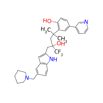 CC(C)(CC(O)(Cc1cc2cc(CN3CCCCC3)ccc2[nH]1)C(F)(F)F)c1cc(-c2cccnc2)ccc1O